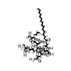 CCCCCCCCCCCCCCCC(=O)NCC(=O)NC(CO)C(O)N[C@@H](CCC(N)=O)C(O)N[C@@H](CCCNC(=N)N)C(=O)NC(CO)C(=O)N[C@@H](CCCC)C(=O)NC